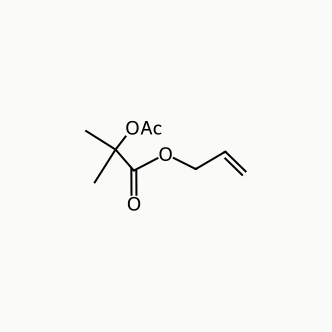 [CH2]C(=O)OC(C)(C)C(=O)OCC=C